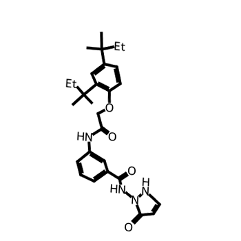 CCC(C)(C)c1ccc(OCC(=O)Nc2cccc(C(=O)Nn3[nH]ccc3=O)c2)c(C(C)(C)CC)c1